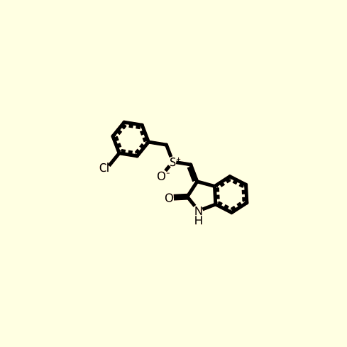 O=C1Nc2ccccc2C1=C[S+]([O-])Cc1cccc(Cl)c1